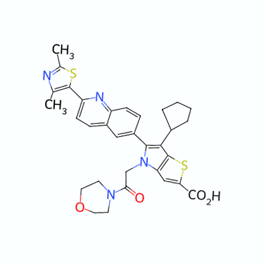 Cc1nc(C)c(-c2ccc3cc(-c4c(C5CCCC5)c5sc(C(=O)O)cc5n4CC(=O)N4CCOCC4)ccc3n2)s1